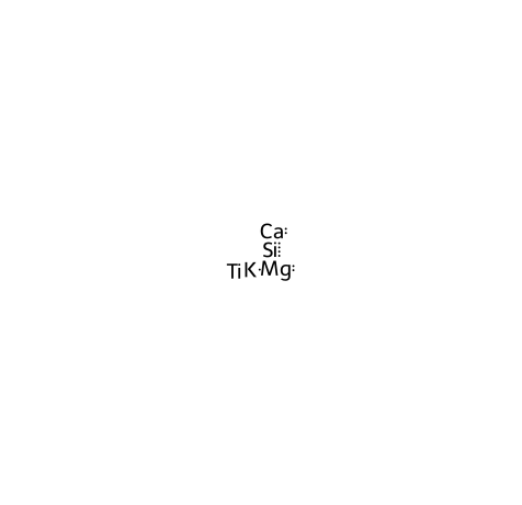 [Ca].[K].[Mg].[Si].[Ti]